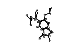 C=CCc1[c]c2nc(C)n(C)c2cc1C(=O)N(C)C